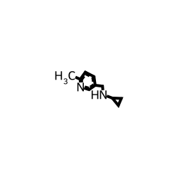 Cc1ccc(CNC2CC2)cn1